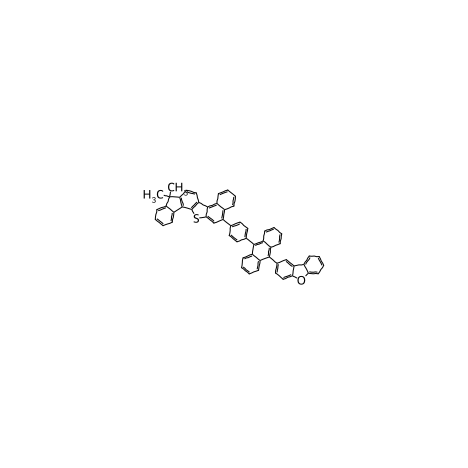 CC1(C)c2ccccc2-c2c1ccc1c2sc2cc(-c3ccc(-c4c5ccccc5c(-c5ccc6oc7ccccc7c6c5)c5ccccc45)cc3)c3ccccc3c21